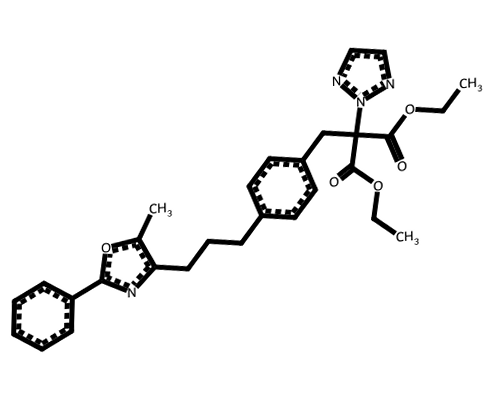 CCOC(=O)C(Cc1ccc(CCCc2nc(-c3ccccc3)oc2C)cc1)(C(=O)OCC)n1nccn1